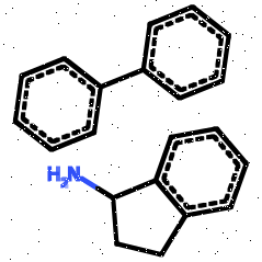 NC1CCc2ccccc21.c1ccc(-c2ccccc2)cc1